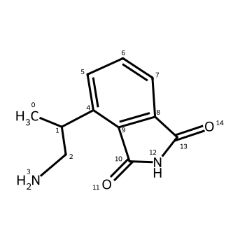 CC(CN)c1cccc2c1C(=O)NC2=O